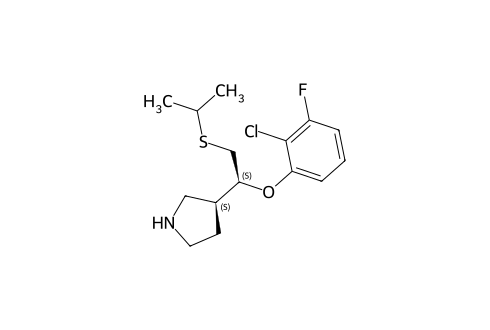 CC(C)SC[C@@H](Oc1cccc(F)c1Cl)[C@H]1CCNC1